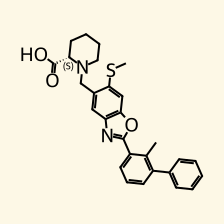 CSc1cc2oc(-c3cccc(-c4ccccc4)c3C)nc2cc1CN1CCCC[C@H]1C(=O)O